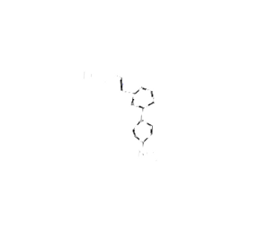 CCOC(=O)/C=C/c1cccc(-c2ccc([N+](=O)[O-])cc2)c1